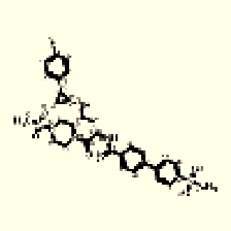 CS(=O)(=O)c1ccc(-c2ccc(C(=O)N[C@@H](CCN[C@@H]3C[C@H]3c3ccc(F)cc3)C(=O)N3CCN(S(C)(=O)=O)CC3)cc2)cc1